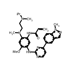 C=CC(=O)Nc1cc(Nc2nccc(-c3ccc4c(cnn4C)c3)n2)c(OC)cc1N(C)CCN(C)C(C)C